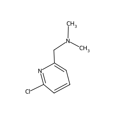 CN(C)Cc1cccc(Cl)n1